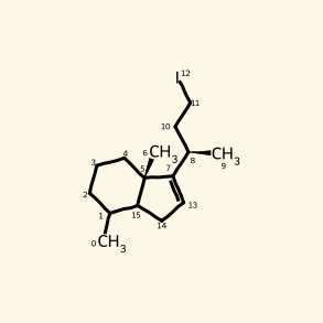 CC1CCC[C@]2(C)C([C@H](C)CCI)=CCC12